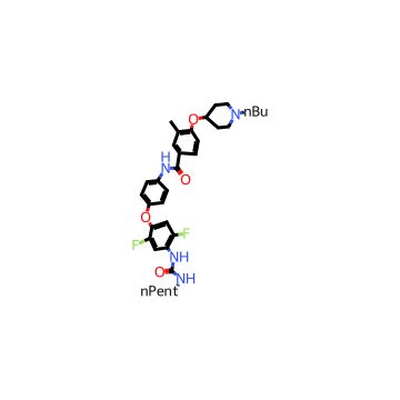 CCCCCNC(=O)Nc1cc(F)c(Oc2ccc(NC(=O)c3ccc(OC4CCN(CCCC)CC4)c(C)c3)cc2)cc1F